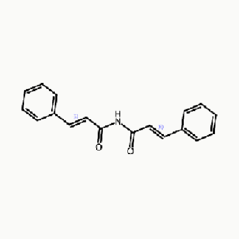 O=C(/C=C/c1ccccc1)NC(=O)/C=C/c1ccccc1